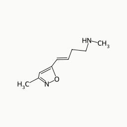 CNCC/C=C/c1cc(C)no1